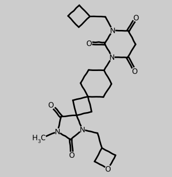 CN1C(=O)N(CC2COC2)C2(CC3(CCC(N4C(=O)CC(=O)N(CC5CCC5)C4=O)CC3)C2)C1=O